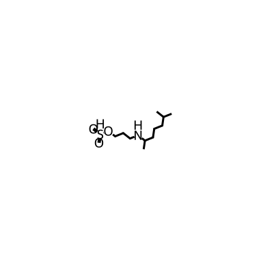 CC(C)CCCC(C)NCCCO[SH](=O)=O